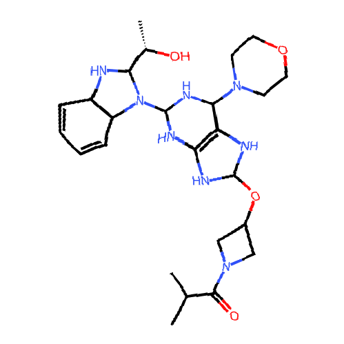 CC(C)C(=O)N1CC(OC2NC3=C(N2)C(N2CCOCC2)NC(N2C4C=CC=CC4NC2[C@H](C)O)N3)C1